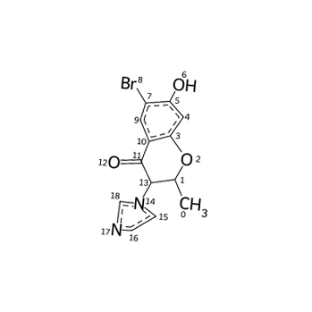 CC1Oc2cc(O)c(Br)cc2C(=O)C1n1ccnc1